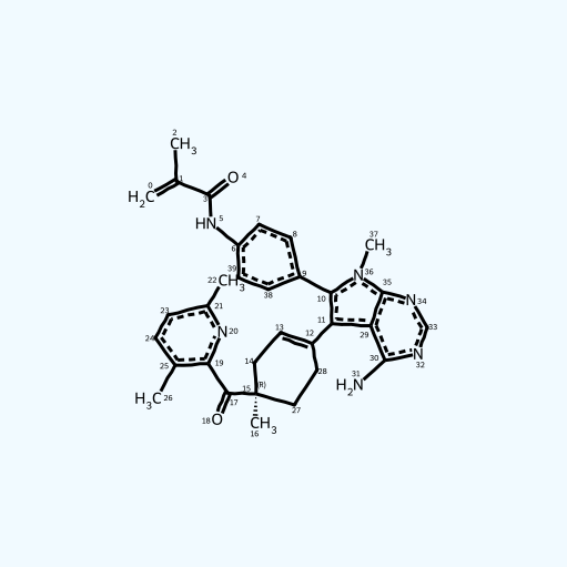 C=C(C)C(=O)Nc1ccc(-c2c(C3=CC[C@](C)(C(=O)c4nc(C)ccc4C)CC3)c3c(N)ncnc3n2C)cc1